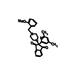 COc1ccccc1CN1CCN(C2(c3cc(C)cc(C)n3)C(=O)c3ccccc3C2=O)CC1